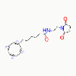 O=C(CCCCCC1=C/C=C\C=C/C=C\1)NCCN1C(=O)C=CC1=O